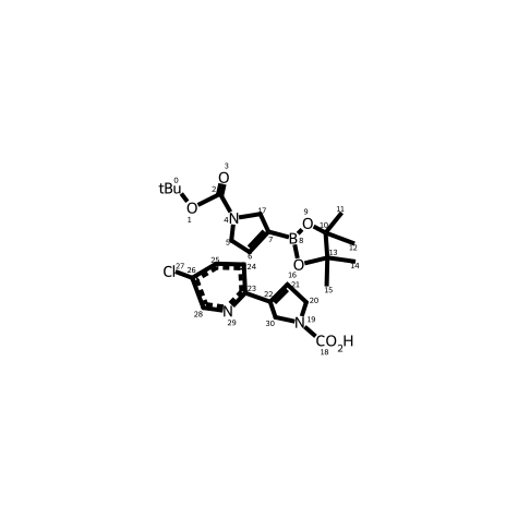 CC(C)(C)OC(=O)N1CC=C(B2OC(C)(C)C(C)(C)O2)C1.O=C(O)N1CC=C(c2ccc(Cl)cn2)C1